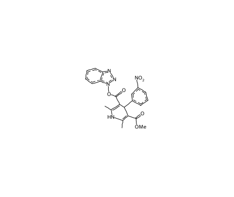 COC(=O)C1=C(C)NC(C)=C(C(=O)On2nnc3ccccc32)C1c1cccc([N+](=O)[O-])c1